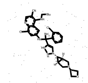 BC(Nc1cc(Cl)c2ncc(C#N)c(NCC(C)(C)C)c2c1)(C1=CN([C@H]2[C@@H]3CN(C4COC4)C[C@@H]32)NN1)c1ccccc1Cl